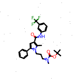 Cc1c(C(=O)Nc2cccc(C(F)(F)F)c2)cc(-c2ccccc2)n1CCCN(C)C(=O)OC(C)(C)C